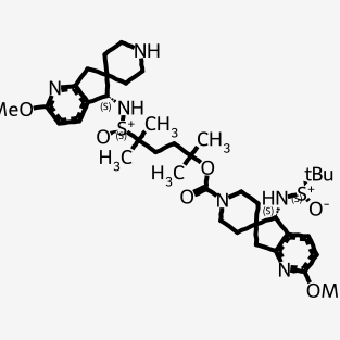 COc1ccc2c(n1)CC1(CCN(C(=O)OC(C)(C)CCC(C)(C)[S@@+]([O-])N[C@@H]3c4ccc(OC)nc4CC34CCNCC4)CC1)[C@@H]2N[S@+]([O-])C(C)(C)C